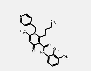 CCCCc1c(C(=O)Nc2cccc(C)c2C)c(=O)cc(C)n1Cc1ccncc1